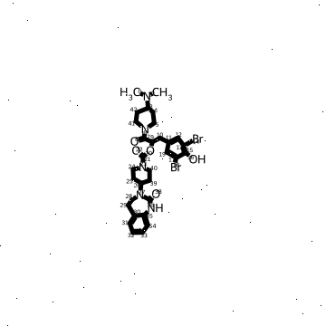 CN(C)C1CCN(C(=O)C(Cc2cc(Br)c(O)c(Br)c2)OC(=O)N2CCC(N3CCc4ccccc4NC3=O)CC2)CC1